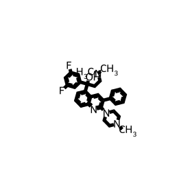 CN(C)CCC(O)(c1cc(F)cc(F)c1)c1cccc2nc(N3CCN(C)CC3)c(-c3ccccc3)cc12